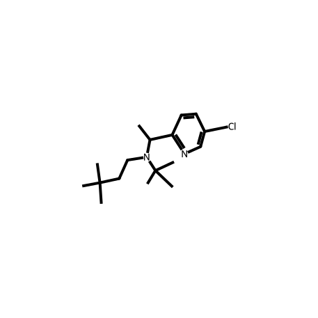 CC(c1ccc(Cl)cn1)N(CCC(C)(C)C)C(C)(C)C